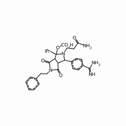 CC(C)C1(OC(=O)O)C2C(=O)N(CCc3ccccc3)C(=O)C2C(c2ccc(C(=N)N)cc2)N1CCC(N)=O